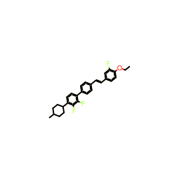 CCOc1ccc(/C=C/c2ccc(-c3ccc(C4CCC(C)CC4)c(F)c3F)cc2)cc1F